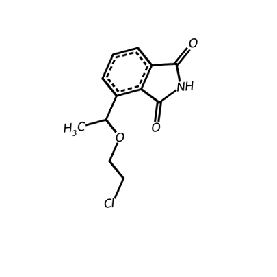 CC(OCCCl)c1cccc2c1C(=O)NC2=O